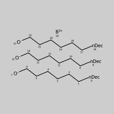 CCCCCCCCCCCCCCCC[O-].CCCCCCCCCCCCCCCC[O-].CCCCCCCCCCCCCCCC[O-].[B+3]